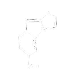 O=S(=O)(O)c1ccc2cc3occn3c2c1